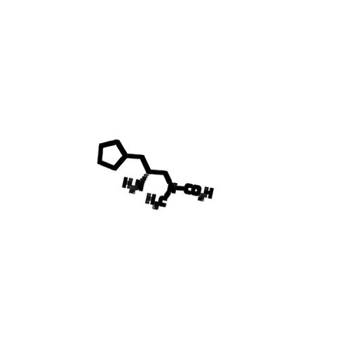 CN(C[C@H](N)CC1CCCC1)C(=O)O